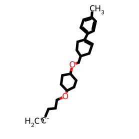 [CH2+][CH-]CCCOC1CCC(OCC2CC=C(c3ccc(C)cc3)CC2)CC1